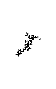 Cc1c2ccsc2cc[n+]1CC=CC1=C(C(=O)O)N2C(=O)C(NC(=O)C(=NOC(F)F)c3csc(N)n3)C2CS1